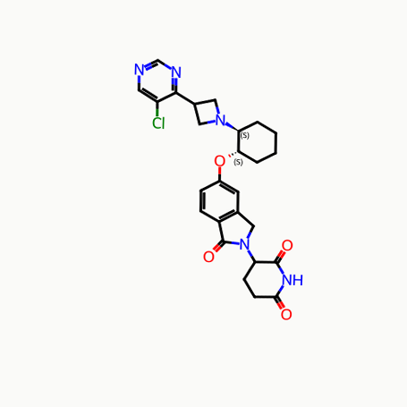 O=C1CCC(N2Cc3cc(O[C@H]4CCCC[C@@H]4N4CC(c5ncncc5Cl)C4)ccc3C2=O)C(=O)N1